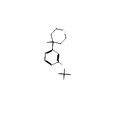 Cl.OC1(c2cccc(OC(F)(F)F)c2)CCNCC1